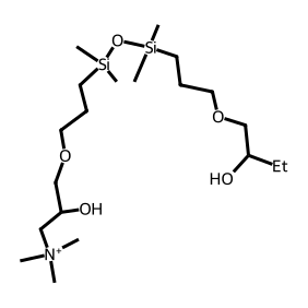 CCC(O)COCCC[Si](C)(C)O[Si](C)(C)CCCOCC(O)C[N+](C)(C)C